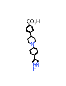 O=C(O)c1ccc(C2CCN(c3ccc(-c4cn[nH]c4)cc3)CC2)cc1